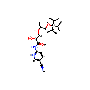 CC(CO[Si](C(C)C)(C(C)C)C(C)C)OCC(O)C(=O)Nc1ccc(C#N)cn1